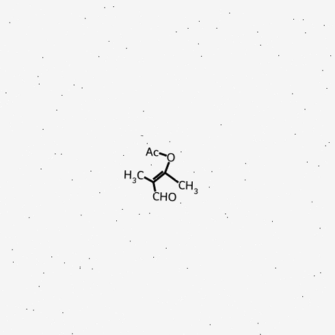 CC(=O)OC(C)=C(C)C=O